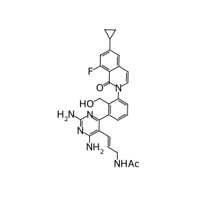 CC(=O)NC/C=C/c1c(N)nc(N)nc1-c1cccc(-n2ccc3cc(C4CC4)cc(F)c3c2=O)c1CO